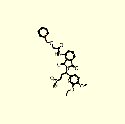 CCOc1nc(C(CC[SH](=O)=O)N2C(=O)c3cccc(NC(=O)COCc4ccccc4)c3C2=O)ccc1OC